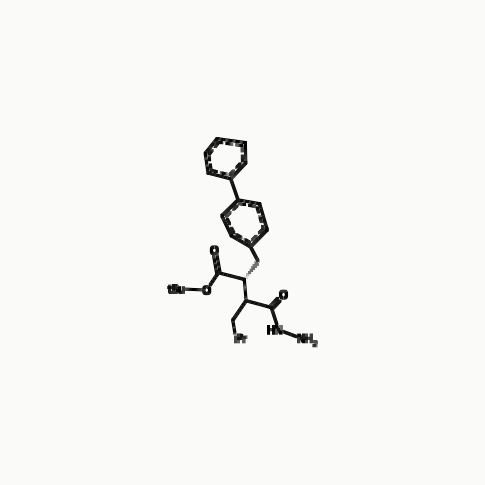 CC(C)CC(C(=O)NN)[C@@H](Cc1ccc(-c2ccccc2)cc1)C(=O)OC(C)(C)C